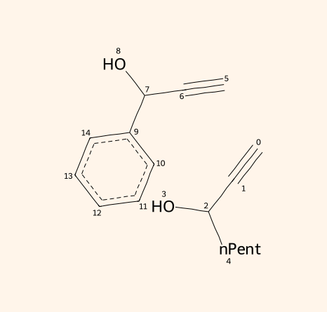 C#CC(O)CCCCC.C#CC(O)c1ccccc1